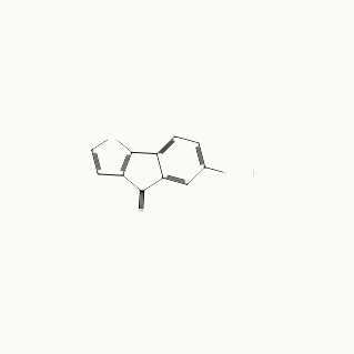 O=C(O)c1ccc2c(c1)C(=O)c1ccsc1-2